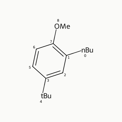 CCCCc1cc(C(C)(C)C)ccc1OC